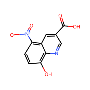 O=C(O)c1cnc2c(O)ccc([N+](=O)[O-])c2c1